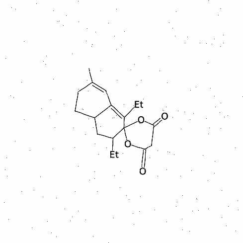 CCC1=C2C=C(C)CCC2CC(CC)C12OC(=O)CC(=O)O2